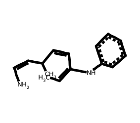 C/C=C(\C=C/C(C)/C=C\N)Nc1ccccc1